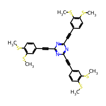 CSc1ccc(C#Cc2nc(C#Cc3ccc(SC)c(SC)c3)nc(C#Cc3ccc(SC)c(SC)c3)n2)cc1SC